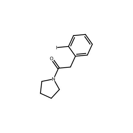 O=C(Cc1ccccc1I)N1CCCC1